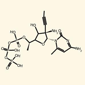 CC#C[C@@]1(N)C(O)C([C@@H](C)OP(=O)(O)OP(=O)(O)OP(=O)(O)O)O[C@H]1n1c(C)cc(N)nc1=O